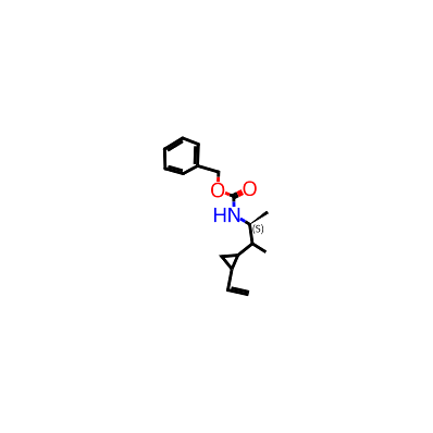 C=CC1CC1C(C)[C@H](C)NC(=O)OCc1ccccc1